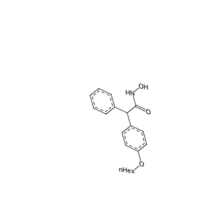 CCCCCCOc1ccc(C(C(=O)NO)c2ccccc2)cc1